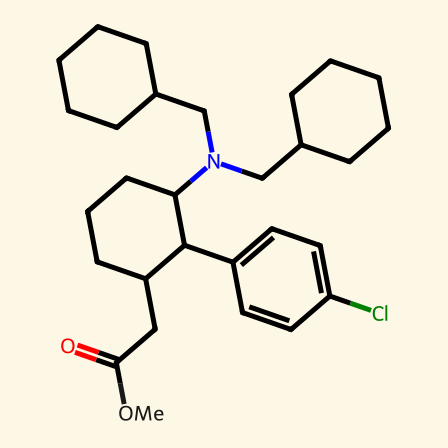 COC(=O)CC1CCCC(N(CC2CCCCC2)CC2CCCCC2)C1c1ccc(Cl)cc1